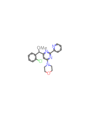 COC(c1cc(N2CCOCC2)nc(-c2ccccn2)n1)c1ccccc1Cl